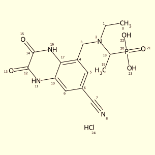 CCN(Cc1cc(C#N)cc2[nH]c(=O)c(=O)[nH]c12)C(C)P(=O)(O)O.Cl